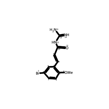 COc1ccc(Br)cc1/C=C/C(=O)NC(=N)N